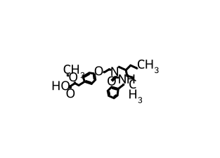 CCCC(CCC)CN(CCOc1ccc(CC(OCC)C(=O)O)cc1)C(=O)NCc1ccccc1